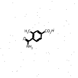 Cc1cc(C(=O)O)ccc1C(N)=O